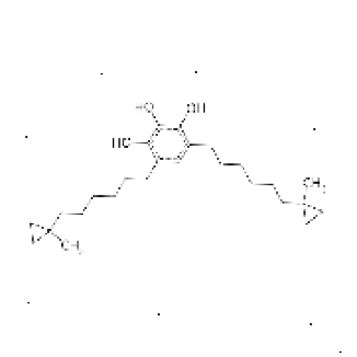 CC1(CCCCCCc2cc(CCCCCCC3(C)CC3)c(O)c(O)c2O)CC1